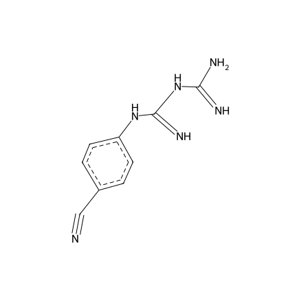 N#Cc1ccc(NC(=N)NC(=N)N)cc1